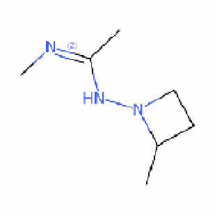 C/N=C(/C)NN1CCC1C